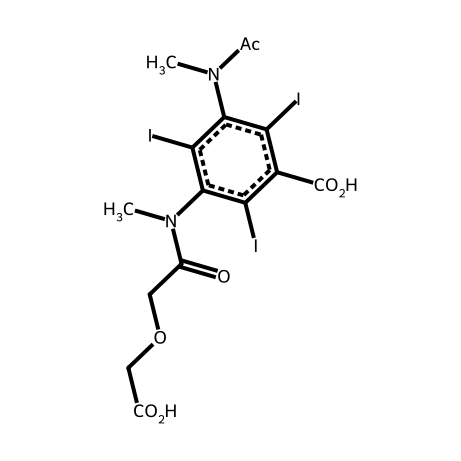 CC(=O)N(C)c1c(I)c(C(=O)O)c(I)c(N(C)C(=O)COCC(=O)O)c1I